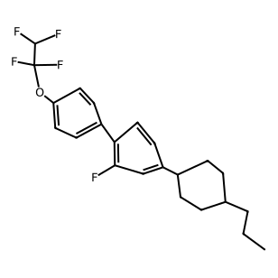 CCCC1CCC(c2ccc(-c3ccc(OC(F)(F)C(F)F)cc3)c(F)c2)CC1